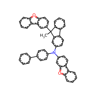 CC1(c2ccc3oc4ccccc4c3c2)c2ccccc2-c2ccc(N(c3ccc(-c4ccccc4)cc3)c3ccc4c(c3)oc3ccccc34)cc21